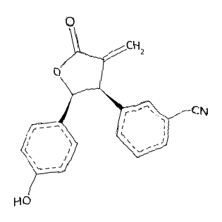 C=C1C(=O)O[C@H](c2ccc(O)cc2)[C@@H]1c1cccc(C#N)c1